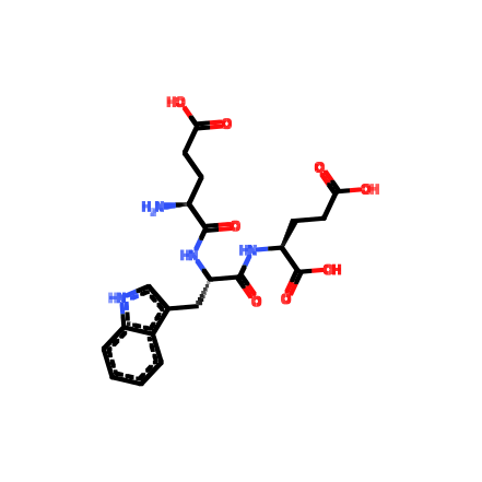 N[C@@H](CCC(=O)O)C(=O)N[C@@H](Cc1c[nH]c2ccccc12)C(=O)N[C@@H](CCC(=O)O)C(=O)O